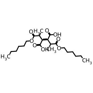 CCCCCCOC(=O)C(C)C(C(=O)O)=C(C(=O)O)C(C)C(=O)OCCCCCC